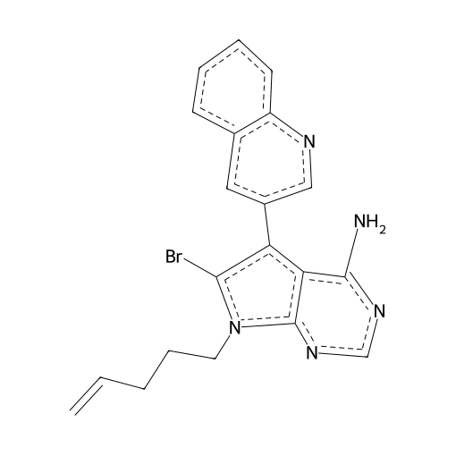 C=CCCCn1c(Br)c(-c2cnc3ccccc3c2)c2c(N)ncnc21